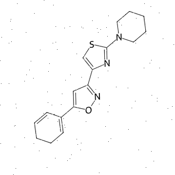 C1=CC(c2cc(-c3csc(N4CCCCC4)n3)no2)=CCC1